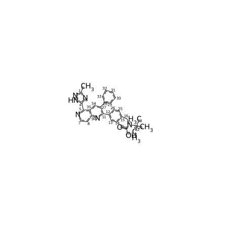 Cc1n[nH]c(-c2nccc3nc(-c4ccc(CN(C(=O)O)C(C)(C)C)cc4)c(-c4ccccc4)cc23)n1